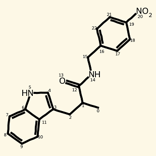 CC(Cc1c[nH]c2ccccc12)C(=O)NCc1ccc([N+](=O)[O-])cc1